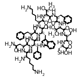 C[C@@H](O)[C@H](NC(=O)[C@H](Cc1ccccc1)NC(=O)[C@@H](NC(=O)[C@H](CCCCN)NC(=O)[C@H](Cc1c[nH]c2ccccc12)NC(=O)[C@H](Cc1ccccc1)NC(=O)[C@H](Cc1ccccc1)NC(=O)[C@H](CC(N)=O)NC(=O)[C@@H](N)CCCCN)[C@@H](C)O)C(=O)N[C@@H](CO)C(=O)N[C@@H](CS)C(=O)O